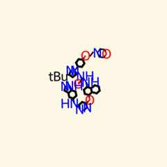 CC(C)(C)c1cc(NC(=O)Nc2ccc(Oc3cc(Nc4ccc5[nH]ncc5c4)ncn3)c3ccccc23)n(-c2ccc(OCCN3CCOCC3)cc2)n1